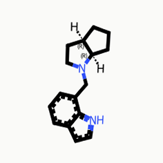 c1cc(CN2CC[C@H]3CCC[C@H]32)c2[nH]ccc2c1